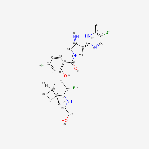 CC1=C(Cl)C=N/C(=C2\CN(C(=O)c3ccc(F)cc3O[C@H]3C[C@@H]4CC[C@@]4(C)C(NCCO)C3F)CC2=N)N1